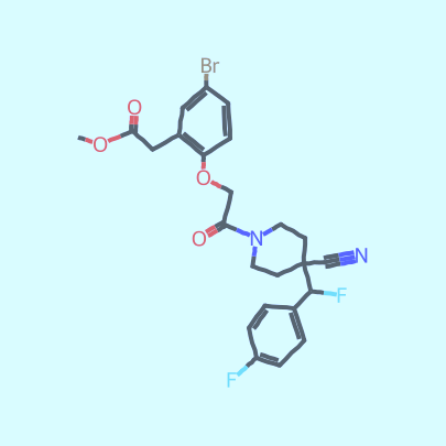 COC(=O)Cc1cc(Br)ccc1OCC(=O)N1CCC(C#N)(C(F)c2ccc(F)cc2)CC1